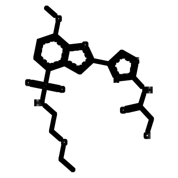 CCOCCNS(=O)(=O)c1ccc(OC)c2oc(-c3csc(NC(=O)CCl)n3)cc12